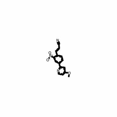 COc1ccnc(-c2ccc(C=CC#N)c([N+](=O)[O-])c2)c1